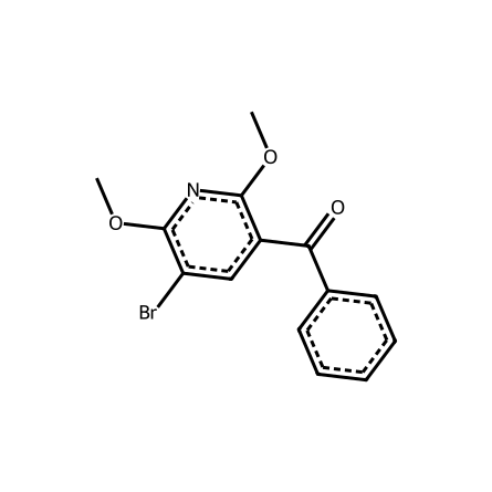 COc1nc(OC)c(C(=O)c2ccccc2)cc1Br